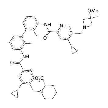 COC1(C)CN(Cc2cnc(C(=O)Nc3cccc(-c4cccc(NC(=O)c5cc(C6CC6)c(CN6CCCC[C@H]6C(=O)O)cn5)c4C)c3C)cc2C2CC2)C1